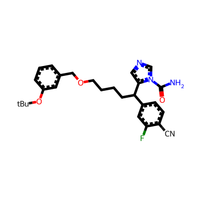 CC(C)(C)Oc1cccc(COCCCC[C](c2ccc(C#N)c(F)c2)c2cncn2C(N)=O)c1